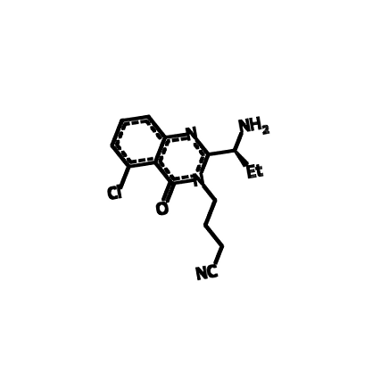 CC[C@H](N)c1nc2cccc(Cl)c2c(=O)n1CCCC#N